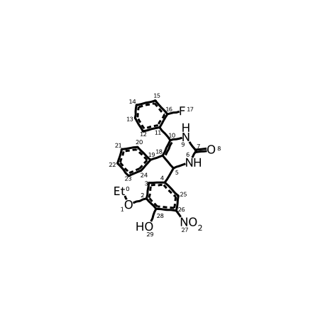 CCOc1cc(C2NC(=O)NC(c3ccccc3F)=C2c2ccccc2)cc([N+](=O)[O-])c1O